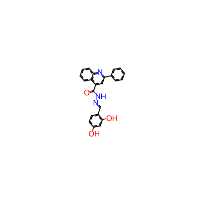 O=C(NN=Cc1ccc(O)cc1O)c1cc(-c2ccccc2)nc2ccccc12